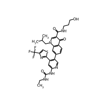 CCNC(=O)Nc1cc(-c2nc(C(F)(F)F)cs2)c(-c2ccc3c(=O)c(C(=O)NCCCO)cn(CC(C)C)c3c2)cn1